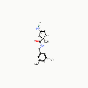 CC1(C(=O)NCc2cc(C(F)(F)F)cc(C(F)(F)F)c2)CC[C@@H](NCl)C1